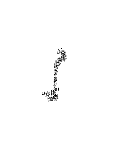 Cc1sc2c(c1C)C(c1ccc(Cl)cc1)=N[C@@H](CC(=O)NCCOCCOCCOCCOCCOc1ccc(C(=O)NC3C(C)(C)C(Oc4ccc(C#N)c(Cl)c4)C3(C)C)cc1)c1nnc(C)n1-2